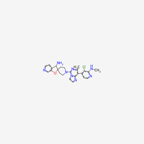 CNc1nccc(-c2c(C)nc(N3CCC4(CC3)Oc3cnccc3C4N)n3ccnc23)c1Cl